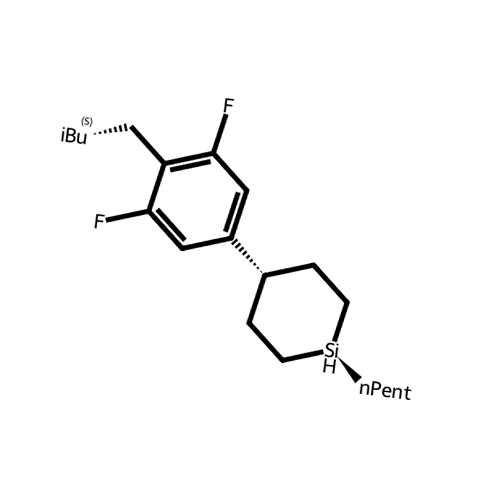 CCCCC[Si@H]1CC[C@H](c2cc(F)c(C[C@@H](C)CC)c(F)c2)CC1